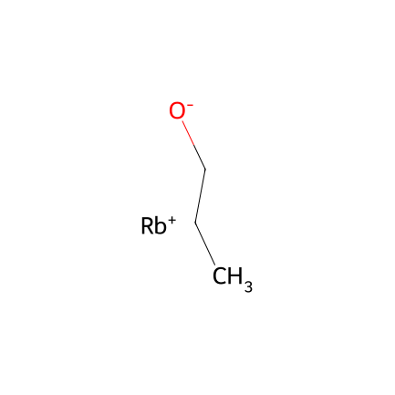 CCC[O-].[Rb+]